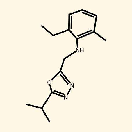 CCc1cccc(C)c1NCc1nnc(C(C)C)o1